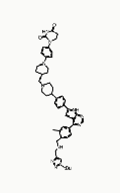 Cc1cc(-c2ncnc3[nH]c(-c4ccc(C5CCN(CC6CCN(c7ccc(N8CCC(=O)NC8=O)cc7)CC6)CC5)cc4)cc23)ccc1CNCc1cn(C(C)(C)C)nn1